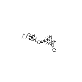 CC(C)(C)OC(=O)NN=Cc1ccc(CNC(=O)C2CCc3ncc(NC(=O)OCc4ccccc4)c(=O)n32)cc1